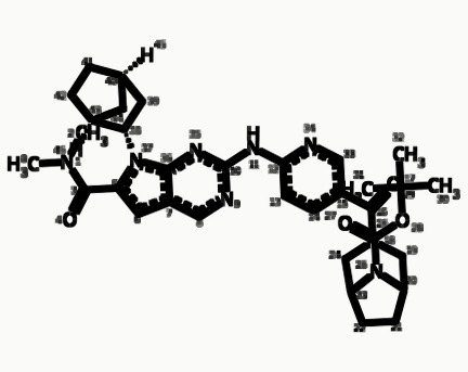 CN(C)C(=O)c1cc2cnc(Nc3ccc(C(=O)N4CC5CCC(C4)N5C(=O)OC(C)(C)C)cn3)nc2n1[C@H]1C[C@@H]2CC[C@H]1C2